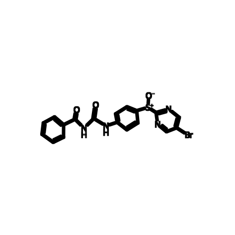 O=C(NC(=O)c1ccccc1)Nc1ccc([S+]([O-])c2ncc(Br)cn2)cc1